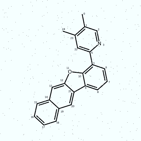 Cc1cnc(-c2cccc3c2oc2cc4ccccc4cc23)cc1C